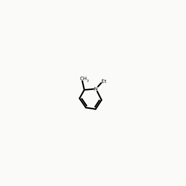 CCN1C=CC=CC1C